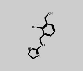 Cc1c(CO)cccc1CNC1=NCCN1